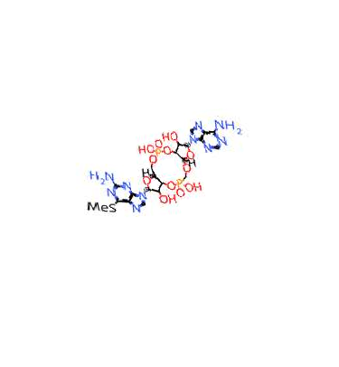 CSc1nc(N)nc2c1ncn2[C@@H]1O[C@@H]2COP(=O)(O)OC3C(O)[C@H](n4cnc5c(N)ncnc54)O[C@@H]3OCP(=O)(O)OC2C1O